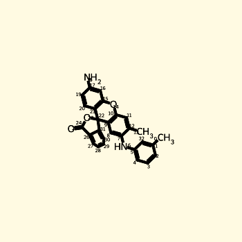 Cc1cccc(Nc2cc3c(cc2C)Oc2cc(N)ccc2C32OC(=O)c3ccccc32)c1